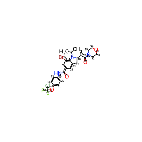 CC(C)N1c2c(Br)cc(C(=O)Nc3ccc(OC(F)(F)Cl)cc3)cc2CC1CC(=O)N1CCOCC1